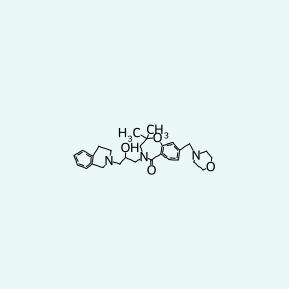 CC1(C)CN(CC(O)CN2CCc3ccccc3C2)C(=O)c2ccc(CN3CCOCC3)cc2O1